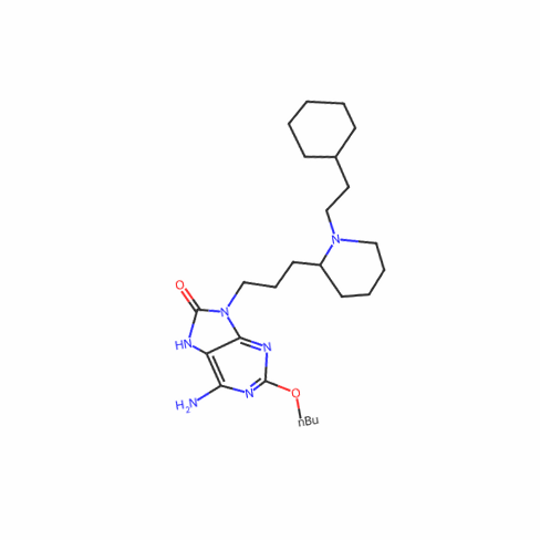 CCCCOc1nc(N)c2[nH]c(=O)n(CCCC3CCCCN3CCC3CCCCC3)c2n1